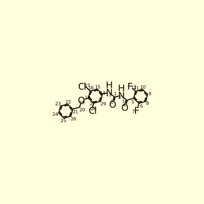 O=C(NC(=O)c1c(F)cccc1F)Nc1cc(Cl)c(OCc2ccccc2)c(Cl)c1